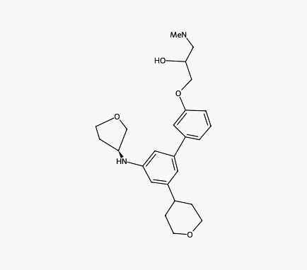 CNCC(O)COc1cccc(-c2cc(N[C@H]3CCOC3)cc(C3CCOCC3)c2)c1